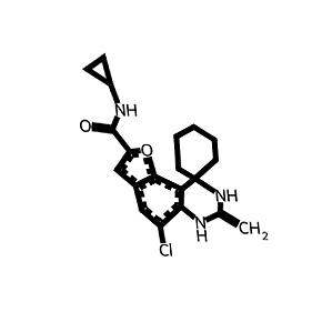 C=C1Nc2c(Cl)cc3cc(C(=O)NC4CC4)oc3c2C2(CCCCC2)N1